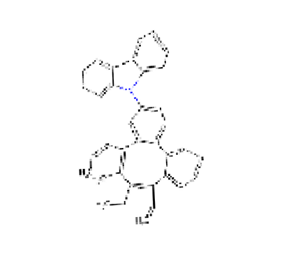 C=CC1=C(\C=C)c2ccccc2-c2ccc(-n3c4ccccc4c4ccccc43)cc2C(/C=C\C)=C\1C